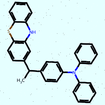 CC(c1ccc(N(c2ccccc2)c2ccccc2)cc1)c1ccc2c(c1)Nc1ccccc1S2